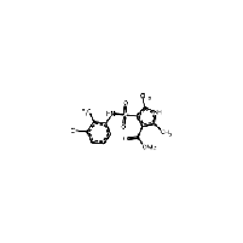 COC(=O)c1c(C)[nH]c(C)c1S(=O)(=O)Nc1cccc(Cl)c1C(F)(F)F